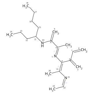 C=CC(=C)C(/N=C(\C)C(=C)NC(CCC)CCCC)=C(C)\N=C/C